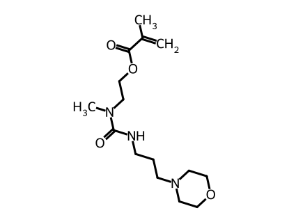 C=C(C)C(=O)OCCN(C)C(=O)NCCCN1CCOCC1